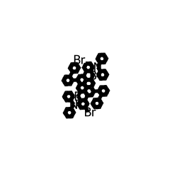 Brc1cc2c3c(c1)N(c1ccccc1)c1ccccc1B3c1cc3c(-c4ccccc4-c4ccccc4)cc4c5c(cc6c(-c7ccccc7-c7ccccc7)cc-2c1c6c35)B1c2ccccc2N(c2ccccc2)c2cc(Br)cc-4c21